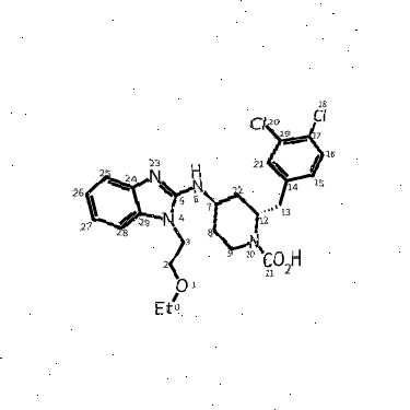 CCOCCn1c(N[C@@H]2CCN(C(=O)O)[C@@H](Cc3ccc(Cl)c(Cl)c3)C2)nc2ccccc21